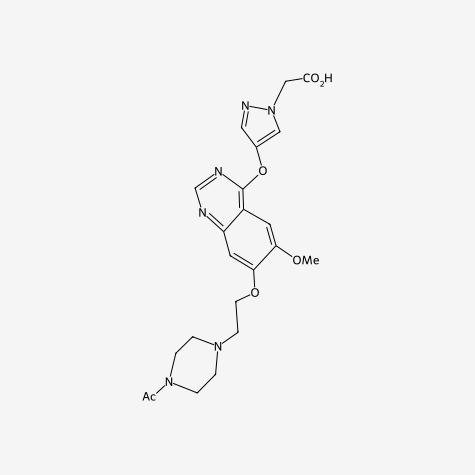 COc1cc2c(Oc3cnn(CC(=O)O)c3)ncnc2cc1OCCN1CCN(C(C)=O)CC1